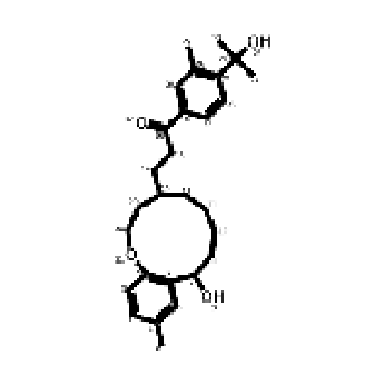 Cc1ccc2c(c1)C(O)CCCCC(CCC(=O)c1ccc(C(C)(C)O)c(C)c1)CCO2